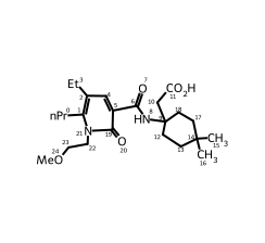 CCCc1c(CC)cc(C(=O)NC2(CC(=O)O)CCC(C)(C)CC2)c(=O)n1CCOC